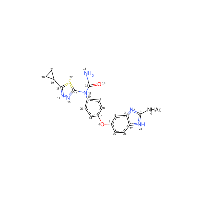 CC(=O)Nc1nc2cc(Oc3ccc(N(C(N)=O)c4nnc(C5CC5)s4)cc3)ccc2[nH]1